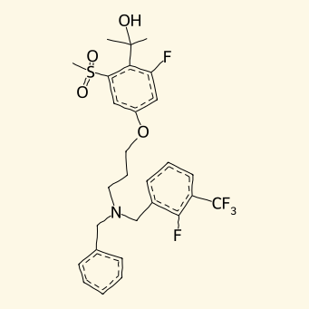 CC(C)(O)c1c(F)cc(OCCCN(Cc2ccccc2)Cc2cccc(C(F)(F)F)c2F)cc1S(C)(=O)=O